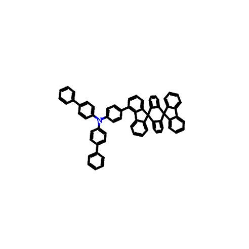 c1ccc(-c2ccc(N(c3ccc(-c4ccccc4)cc3)c3ccc(-c4cccc5c4-c4ccccc4C54c5ccccc5C5(c6ccccc6-c6ccccc65)c5ccccc54)cc3)cc2)cc1